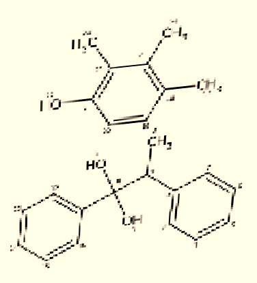 CC(c1ccccc1)C(O)(O)c1ccccc1.Cc1ccc(O)c(C)c1C